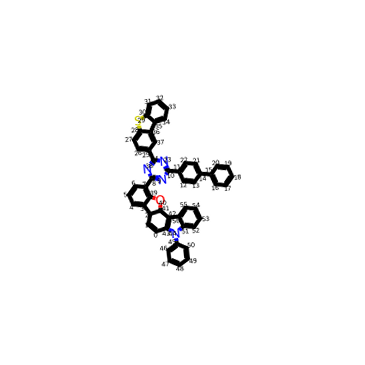 C1=CC2c3cccc(-c4nc(-c5ccc(-c6ccccc6)cc5)nc(-c5ccc6sc7ccccc7c6c5)n4)c3OC2c2c1n(-c1ccccc1)c1ccccc21